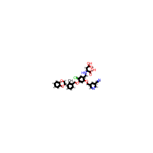 Cc1c(COc2cc(OCc3cncc(C#N)c3)c(CNC(CC(=O)O)C(=O)O)cc2Cl)cccc1[C@@H]1COc2ccccc2O1